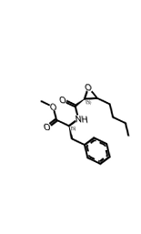 CCCCC1O[C@@H]1C(=O)N[C@@H](Cc1ccccc1)C(=O)OC